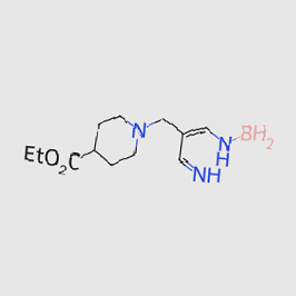 BN/C=C(\C=N)CN1CCC(C(=O)OCC)CC1